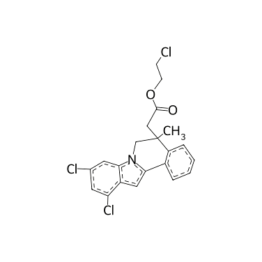 CC1(CC(=O)OCCCl)Cn2c(cc3c(Cl)cc(Cl)cc32)-c2ccccc21